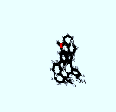 CCC12CCCN3CCC4(C=C(C5=CC=C(O)C5C5CC6(C(C)(F)F)CCCN7CCc8c(n5c5ccccc85)C76)NC4CC1)C32